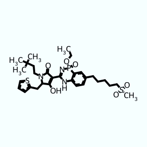 CCOP1(=O)N=C(C2=C(O)C(Cc3cccs3)N(CCC(C)(C)C)C2=O)Nc2ccc(CCCCCS(C)(=O)=O)cc21